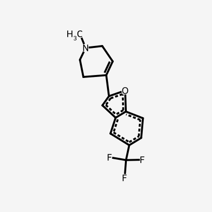 CN1CC=C(c2cc3cc(C(F)(F)F)ccc3o2)CC1